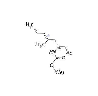 C=C/C=C(\C)C[C@H](CC(C)=O)NC(=O)OC(C)(C)C